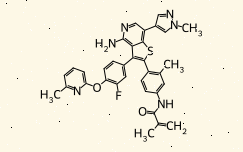 C=C(C)C(=O)Nc1ccc(-c2sc3c(-c4cnn(C)c4)cnc(N)c3c2-c2ccc(Oc3cccc(C)n3)c(F)c2)c(C)c1